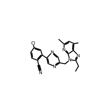 CCc1nc2c(C)cc(C)nc2n1Cc1cnc(-c2cc(Cl)ccc2C#N)cn1